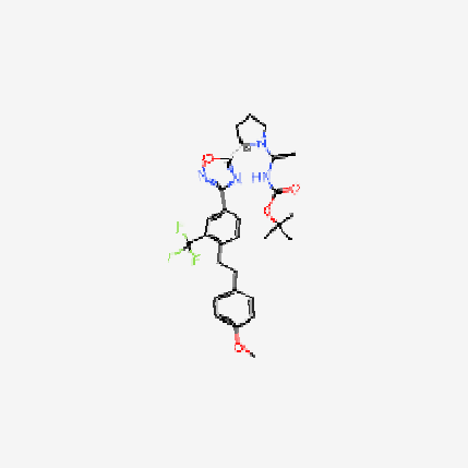 C=C(NC(=O)OC(C)(C)C)N1CCC[C@H]1c1nc(-c2ccc(CCc3ccc(OC)cc3)c(C(F)(F)F)c2)no1